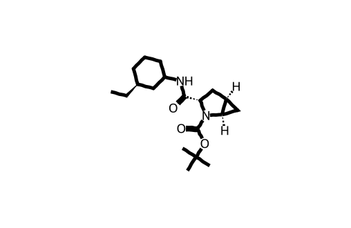 CC[C@H]1CCCC(NC(=O)[C@@H]2C[C@H]3C[C@H]3N2C(=O)OC(C)(C)C)C1